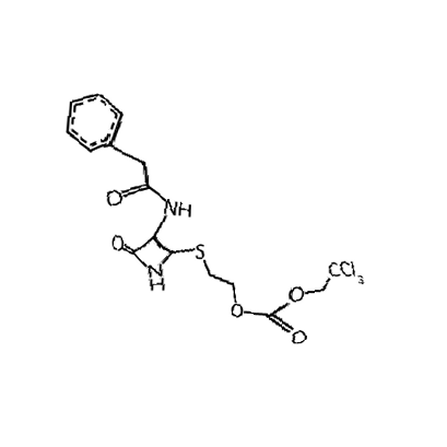 O=C(Cc1ccccc1)NC1C(=O)NC1SCCOC(=O)OCC(Cl)(Cl)Cl